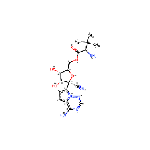 CC(C)(C)C(N)C(=O)OC[C@H]1O[C@@](C#N)(c2ccc3c(N)ncnn23)[C@H](O)[C@@H]1O